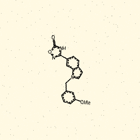 COc1cccc(Cn2ccc3ccc(-c4noc(=O)[nH]4)cc32)c1